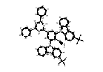 CC(C)(C)c1ccc2c(c1)c1ccccc1n2-c1cc(-c2nc(-c3ccccc3)nc(-c3ccccc3)n2)cc(-n2c3ccccc3c3cc(C(C)(C)C)ccc32)c1C#N